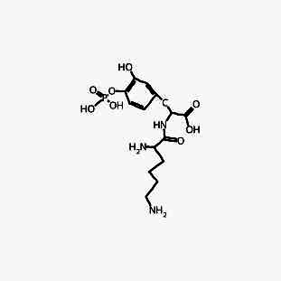 NCCCCC(N)C(=O)NC(Cc1ccc(OP(=O)(O)O)c(O)c1)C(=O)O